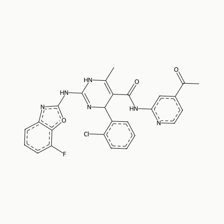 CC(=O)c1ccnc(NC(=O)C2=C(C)NC(Nc3nc4cccc(F)c4o3)=NC2c2ccccc2Cl)c1